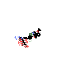 NC(=O)CN(CCCCc1cc(Cl)c(COC2(c3cnccc3-c3ccccc3OC3CC3)CC2)cc1Cl)C(=O)C(O)C(O)C(O)C(O)CO